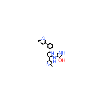 C#CN(C)/C=C(\C=C)c1cccc(-c2ccc(C3=CC(C)N=C3)c(N[C@@H]3CNC[C@@H]3O)n2)c1